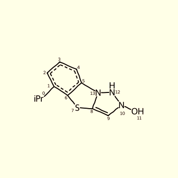 CC(C)c1cccc2c1SC1=CN(O)NN12